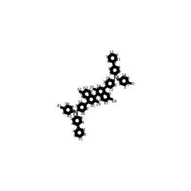 Cc1ccc(N(c2ccc(-c3ccccc3)cc2)c2ccc(-c3cc(C)c(-c4c(C)cc(-c5ccc(N(c6ccc(C)cc6)c6ccc(-c7ccccc7)cc6)cc5)c5cc(C)ccc45)c4ccc(C)cc34)cc2)cc1